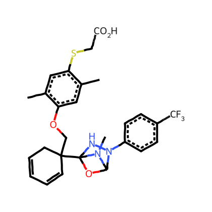 Cc1cc(SCC(=O)O)c(C)cc1OCC1(C23NN(c4ccc(C(F)(F)F)cc4)C(O2)N3C)C=CC=CC1